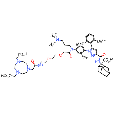 COc1cccc(OC)c1-c1cc(C(=O)NC2(C(=O)O)C3CC4CC(C3)CC2C4)nn1-c1ccc(N(CCCN(C)C)C(=O)COCCOCCNC(=O)CN2CCN(CC(=O)O)CCN(CC(=O)O)CC2)cc1C(C)C